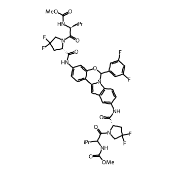 COC(=O)NC(C(=O)N1CC(F)(F)C[C@H]1C(=O)Nc1ccc2c(c1)cc1n2C(c2cc(F)cc(F)c2)Oc2cc(NC(=O)[C@@H]3CC(F)(F)CN3C(=O)[C@@H](NC(=O)OC)C(C)C)ccc2-1)C(C)C